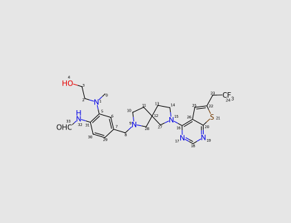 CN(CCO)c1cc(CN2CCC3(CCN(c4ncnc5sc(CC(F)(F)F)cc45)C3)C2)ccc1NC=O